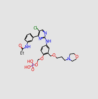 CCC(=O)Nc1cccc(-c2nc(Nc3ccc(OCOP(=O)(O)O)c(COCCCN4CCOCC4)c3)ncc2Cl)c1